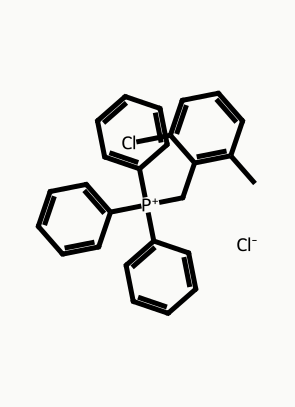 Cc1cccc(Cl)c1C[P+](c1ccccc1)(c1ccccc1)c1ccccc1.[Cl-]